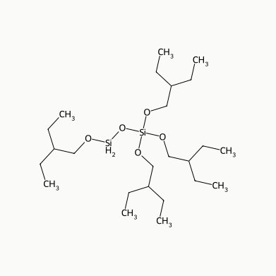 CCC(CC)CO[SiH2]O[Si](OCC(CC)CC)(OCC(CC)CC)OCC(CC)CC